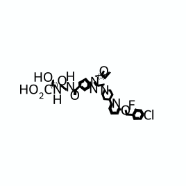 O=C(CNC(=O)c1ccc2c(c1)nc(CN1CCC(c3cccc(OCc4ccc(Cl)cc4F)n3)CC1)n2C[C@@H]1CCO1)N[C@@H](CO)C(=O)O